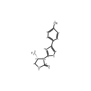 N#Cc1ccc(-c2csc(N3C(=O)OC[C@@H]3C(F)(F)F)n2)cc1